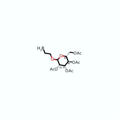 BCCOC1O[C@H](COC(C)=O)[C@@H](OC(C)=O)[C@H](OC(C)=O)[C@@H]1OC(C)=O